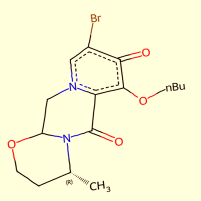 CCCCOc1c2n(cc(Br)c1=O)CC1OCC[C@@H](C)N1C2=O